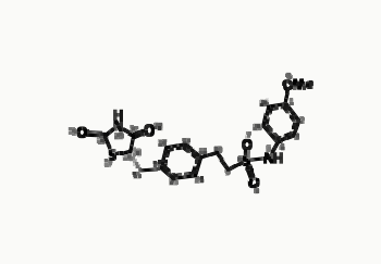 COc1ccc(NS(=O)(=O)CCc2ccc(C[C@@H]3SC(=O)NC3=O)cc2)cc1